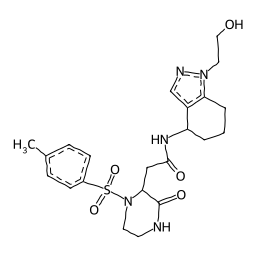 Cc1ccc(S(=O)(=O)N2CCNC(=O)C2CC(=O)NC2CCCc3c2cnn3CCO)cc1